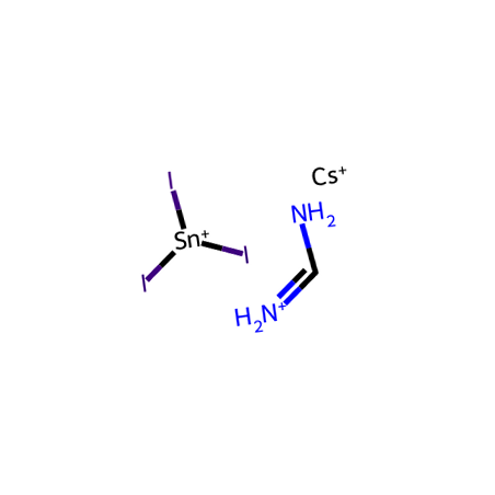 NC=[NH2+].[Cs+].[I][Sn+]([I])[I]